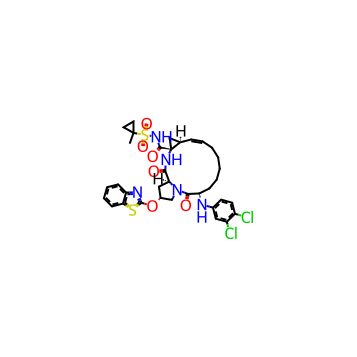 CC1(S(=O)(=O)NC(=O)[C@@]23C[C@H]2/C=C\CCCCC[C@H](Nc2ccc(Cl)c(Cl)c2)C(=O)N2C[C@H](Oc4nc5ccccc5s4)C[C@H]2C(=O)N3)CC1